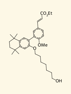 CCOC(=O)C=Cc1ccc(OC)c(-c2cc3c(cc2OCCCCCCCO)C(C)(C)CCC3(C)C)c1